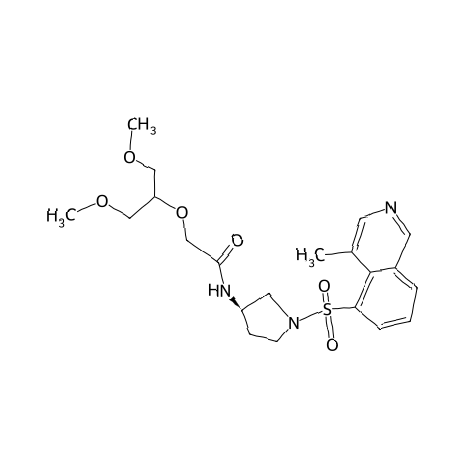 COCC(COC)OCC(=O)N[C@@H]1CCN(S(=O)(=O)c2cccc3cncc(C)c23)C1